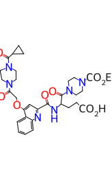 CCOC(=O)N1CCN(C(=O)C(CCC(=O)O)NC(=O)c2cc(OCC(=O)N3CCN(C(=O)C4CC4)CC3)c3ccccc3n2)CC1